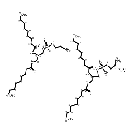 CCCCCCCCCCCCCCCCCC(=O)OC[C@H](COP(=O)(O)OCCN)OC(=O)CCCCCCCCCCCCCCCCC.CCCCCCCCCCCCCCCCCC(=O)OC[C@H](COP(=O)(O)OC[C@H](N)C(=O)O)OC(=O)CCCCCCCCCCCCCCCCC